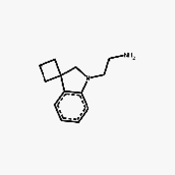 NCCN1CC2(CCC2)c2ccccc21